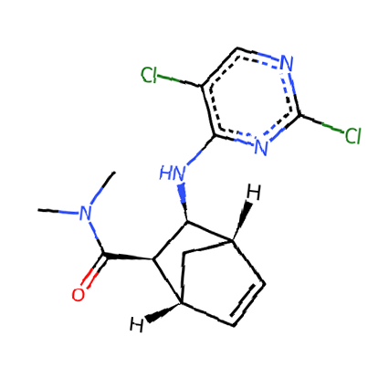 CN(C)C(=O)[C@H]1[C@@H](Nc2nc(Cl)ncc2Cl)[C@@H]2C=C[C@H]1C2